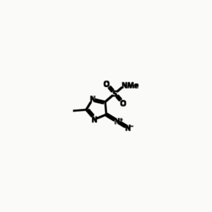 CNS(=O)(=O)C1=NC(C)=NC1=[N+]=[N-]